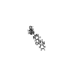 O=c1c2ccccc2ncn1-c1cnc(N2CC[N+]3([O-])CCC2CC3)nc1